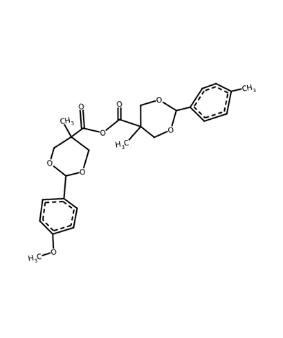 COc1ccc(C2OCC(C)(C(=O)OC(=O)C3(C)COC(c4ccc(C)cc4)OC3)CO2)cc1